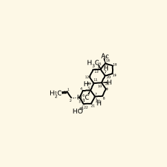 C=CC[C@@H]1C[C@@]2(C)[C@@H](CC[C@@H]3[C@@H]2CC[C@]2(C)[C@@H](C(C)=O)CC[C@@H]32)C[C@@H]1O